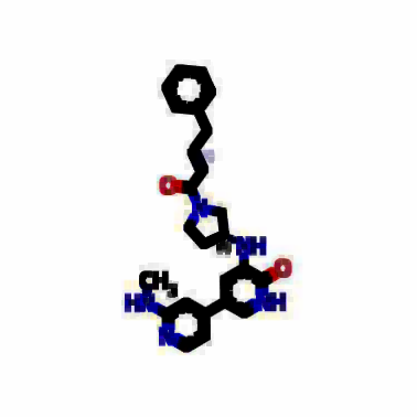 CNc1cc(-c2c[nH]c(=O)c(N[C@@H]3CCN(C(=O)/C=C/Cc4ccccc4)C3)c2)ccn1